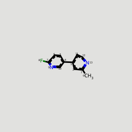 Cc1cc(-c2ccc(F)nc2)ccn1